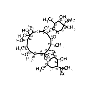 CC[C@H]1OC(=O)[C@H](C)[C@@H](O[C@H]2C[C@@](C)(OC)[C@@H](O)[C@H](C)O2)[C@H](C)[C@@H](O[C@@H]2O[C@H](C)C[C@H](N(C)C(C)=O)[C@H]2O)[C@](C)(O)C[C@@H](C)[C@H](O)[C@H](C)[C@@H](O)[C@]1(C)O